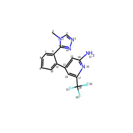 Cn1cnnc1-c1ccccc1-c1cc(N)nc(C(F)(F)F)c1